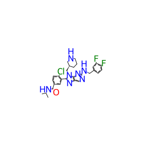 CC(C)NC(=O)c1ccc(Cl)c(-c2nc3cnc(NCc4ccc(F)c(F)c4)nc3n2C[C@@H]2CCCNC2)c1